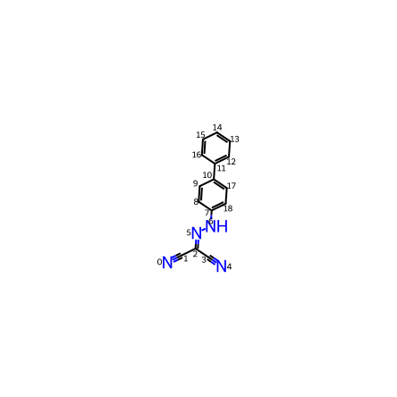 N#CC(C#N)=NNc1ccc(-c2ccccc2)cc1